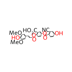 COc1cc(C=CC(=O)Oc2ccc(OC(=O)c3ccc(O)cc3C#N)cc2C(=O)O)cc(OC)c1O